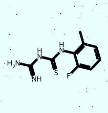 Cc1cccc(F)c1NC(=S)NC(=N)N